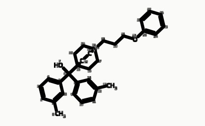 Cc1cccc(C(O)(c2cccc(C)c2)C23CC[N+](CCCOc4ccccc4)(CC2)CC3)c1